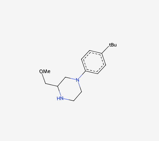 COCC1CN(c2ccc(C(C)(C)C)cc2)CCN1